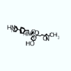 Cc1cc(CCC(=O)N2C[C@H](O)C[C@H]2C(=O)NCc2ccc(-c3cn[nH]c3)cc2)on1